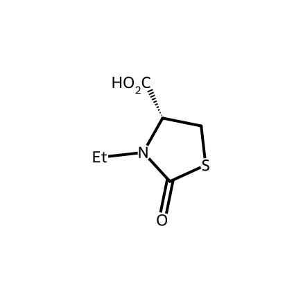 CCN1C(=O)SC[C@H]1C(=O)O